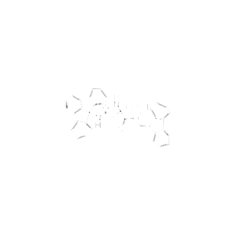 N[C@@](CC(=O)NC(c1ccccc1)(c1ccccc1)c1ccccc1)(C(=O)O)C(=O)OCC1c2ccccc2-c2ccccc21